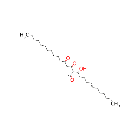 CCCCCCC=CCCCC(=O)CC(=O)C([C]=O)C(O)CCCC=CCCCCCC